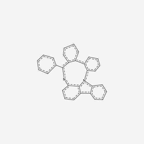 c1ccc(-c2nc3cccc4c5ccccc5n(c5ccccc5c5ccccc25)c34)cc1